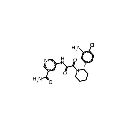 NC(=O)c1cncc(NC(=O)C(=O)N2CCCC[C@H]2c2ccc(Cl)c(N)c2)c1